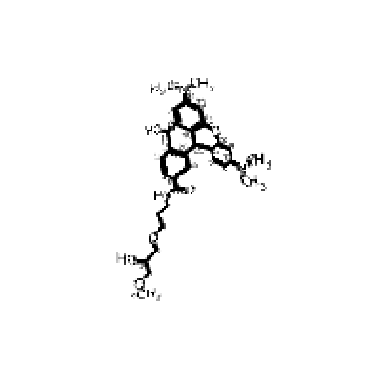 COCC(O)COCCCNC(=O)c1ccc(C(=O)O)c(-c2c3ccc(=[N+](C)C)cc-3oc3cc(N(C)C)ccc23)c1